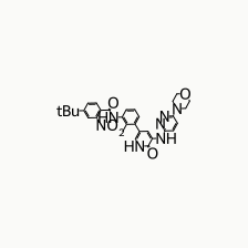 Cc1c(NC(=O)c2ccc(C(C)(C)C)cc2[N+](=O)[O-])cccc1-c1c[nH]c(=O)c(Nc2ccc(N3CCOCC3)nn2)c1